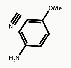 C#N.COc1ccc(N)cc1